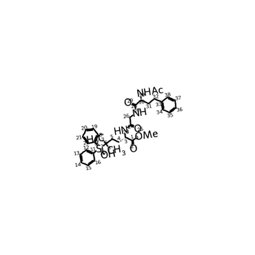 COC(=O)[C@H](CCC(C)(C)[Si](O)(c1ccccc1)c1ccccc1)NC(=O)CNC(=O)[C@H](CCc1ccccc1)NC(C)=O